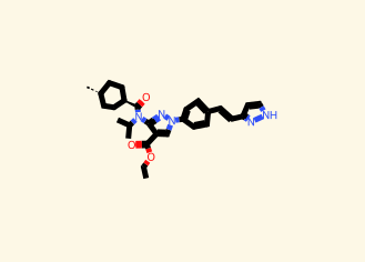 CCOC(=O)c1cn(-c2ccc(C=Cc3cc[nH]n3)cc2)nc1N(C(=O)[C@H]1CC[C@H](C)CC1)C(C)C